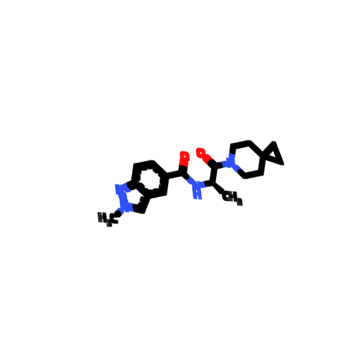 C[C@@H](NC(=O)c1ccc2nn(C)cc2c1)C(=O)N1CCC2(CC1)CC2